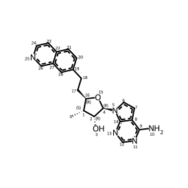 C[C@H]1[C@@H](O)[C@H](n2ccc3c(N)ncnc32)O[C@@H]1CCc1ccc2ccncc2c1